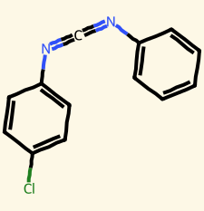 Clc1ccc(N=C=Nc2ccccc2)cc1